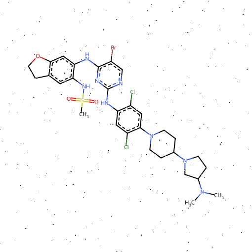 CN(C)C1CCN(C2CCN(c3cc(Cl)c(Nc4ncc(Br)c(Nc5cc6c(cc5NS(C)(=O)=O)CCO6)n4)cc3Cl)CC2)C1